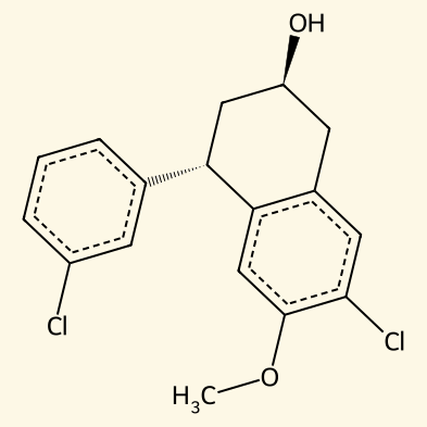 COc1cc2c(cc1Cl)C[C@H](O)C[C@H]2c1cccc(Cl)c1